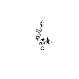 CC(C)(N)C(=O)N[C@H](COCc1ccccc1)c1nnc2n1CCN(C(=O)OCCN1CCOCC1)C2